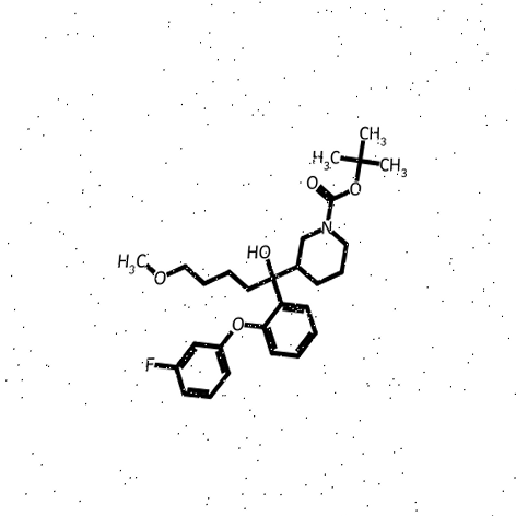 COCCCCC(O)(c1ccccc1Oc1cccc(F)c1)C1CCCN(C(=O)OC(C)(C)C)C1